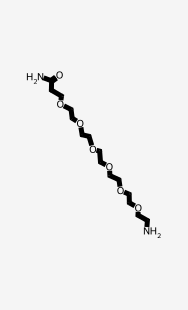 NCCOCCOCCOCCOCCOCCOCCC(N)=O